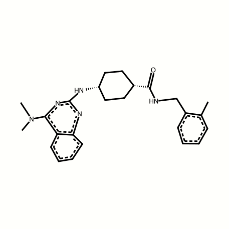 Cc1ccccc1CNC(=O)[C@H]1CC[C@@H](Nc2nc(N(C)C)c3ccccc3n2)CC1